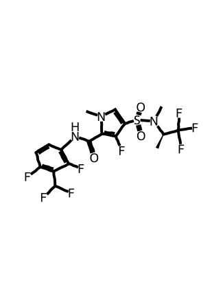 C[C@@H](N(C)S(=O)(=O)c1cn(C)c(C(=O)Nc2ccc(F)c(C(F)F)c2F)c1F)C(F)(F)F